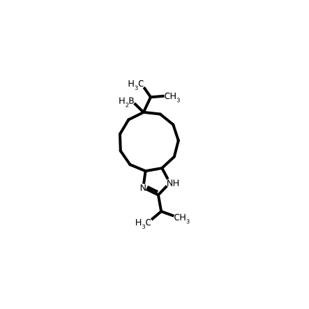 BC1(C(C)C)CCCCC2N=C(C(C)C)NC2CCCC1